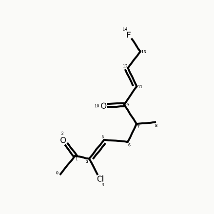 CC(=O)/C(Cl)=C/CC(C)C(=O)/C=C/CF